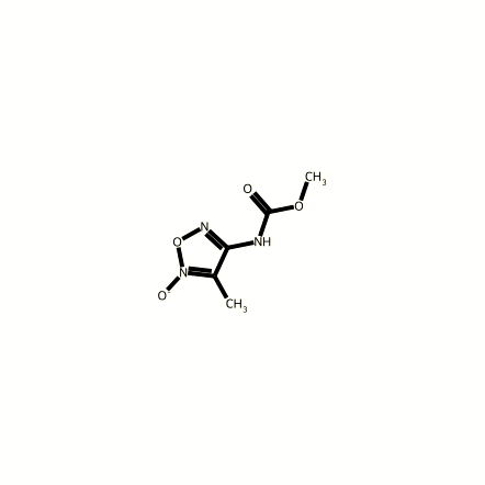 COC(=O)Nc1no[n+]([O-])c1C